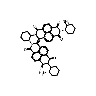 NC1CCCC[C@@H]1N1C(=O)c2ccc3c4c(ccc(c24)C1=O)C(=O)N(C1CCCC[C@@H]1N1C(=O)c2ccc4c5c(ccc(c25)C1=O)C(=O)C(C1CCCC[C@@H]1N)C4=O)C3=O